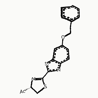 CC(=O)[C@H]1CSC(c2nc3ccc(OCc4ccccc4)cc3s2)=N1